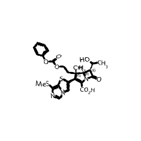 CSc1ncn2cc(C3=C(C(=O)O)N4C(=O)[C@H](C(C)O)[C@@H]4[C@@]3(C)CCOC(=O)Oc3ccccc3)sc12